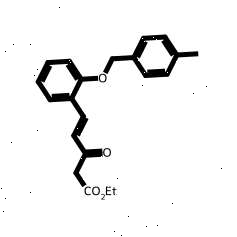 CCOC(=O)CC(=O)C=Cc1ccccc1OCc1ccc(C)cc1